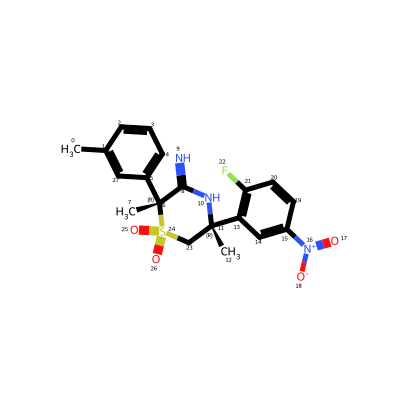 Cc1cccc([C@]2(C)C(=N)N[C@](C)(c3cc([N+](=O)[O-])ccc3F)CS2(=O)=O)c1